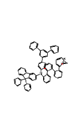 C1=C[C@@H]2C=C2C(c2ccccc2-c2ccccc2-c2ccccc2N(c2ccc(-c3cc(-c4ccccc4)cc(-c4ccccc4)c3)cc2)c2ccc3c(c2)-c2ccccc2C3(c2ccccc2)c2ccccc2)=C1